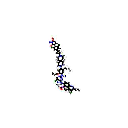 CCc1cc(Nc2ncc(Br)c(Nc3ccc4nc(C)c(F)cc4c3P(C)(C)=O)n2)c(OC)cc1N1CCC2(CC1)CCN(C1CC(c3cc(F)c([C@H]4CCC(=O)NC4=O)c(F)c3)C1)CC2